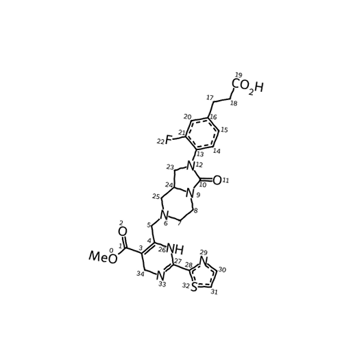 COC(=O)C1=C(CN2CCN3C(=O)N(c4ccc(CCC(=O)O)cc4F)CC3C2)NC(c2nccs2)=NC1